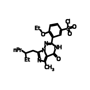 CCCC(CC)Cc1nc(C)c2c(=O)[nH]c(-c3cc(S(=O)(=O)Cl)ccc3OCC)nn12